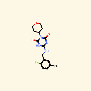 Cc1ccc(F)c(CNc2nc(=O)n(C3CCOCC3)c(=O)[nH]2)c1